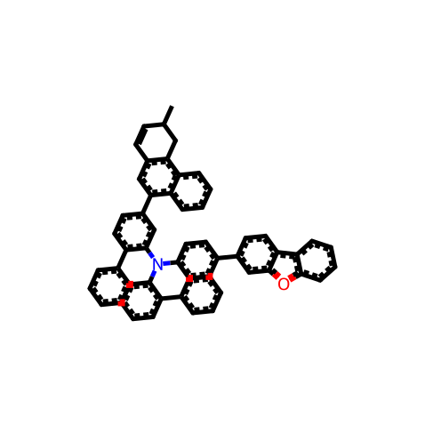 CC1C=Cc2cc(-c3ccc(-c4ccccc4)c(N(c4ccc(-c5ccc6c(c5)oc5ccccc56)cc4)c4ccccc4-c4ccccc4)c3)c3ccccc3c2C1